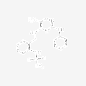 CS(=O)(=O)Nc1ccccc1CNc1nc(Nc2ccccc2)ncc1C(F)(F)F